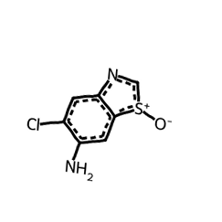 Nc1cc2c(cc1Cl)nc[s+]2[O-]